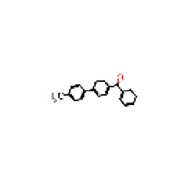 Cc1ccc(C2=CC=C(C(=O)C3=CC=CCC3)CC2)cc1